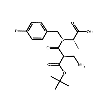 C[C@@H](C(=O)O)N(Cc1ccc(F)cc1)C(=O)[C@@H](CN)C(=O)OC(C)(C)C